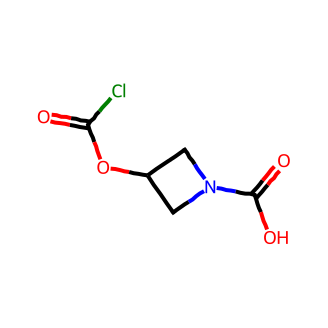 O=C(Cl)OC1CN(C(=O)O)C1